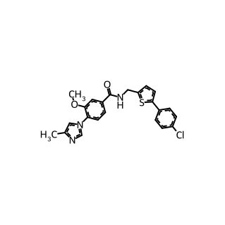 COc1cc(C(=O)NCc2ccc(-c3ccc(Cl)cc3)s2)ccc1-n1cnc(C)c1